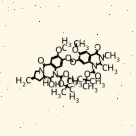 C=C1C[C@H]2C(O)N(C(=O)OC(C)(C)C)c3cc(OOc4cc5c(cc4OC)C(=O)N(C)C(C)N5C(=O)OC(C)(C)C)c(OC)cc3C(=O)N2C1